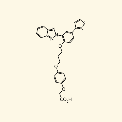 O=C(O)COc1ccc(OCCCOc2ccc(-c3ccsn3)cc2-n2nc3ccccc3n2)cc1